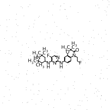 CC1(C)CC(Nc2nc(Nc3ccc4c(c3)OC(C)(C)C(=O)N4CCF)ncc2F)CC(C)(C)N1